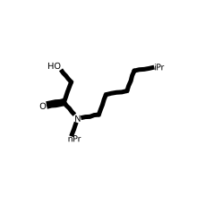 CCCN(CCCCC(C)C)C(=O)CO